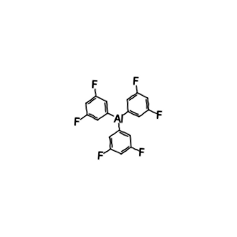 Fc1cc(F)c[c]([Al]([c]2cc(F)cc(F)c2)[c]2cc(F)cc(F)c2)c1